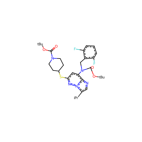 CC(C)c1cnc2c(N(Cc3c(F)cccc3F)C(=O)OC(C)(C)C)cc(SC3CCN(C(=O)OC(C)(C)C)CC3)nn12